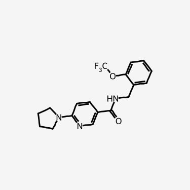 O=C(NCc1ccccc1OC(F)(F)F)c1ccc(N2CCCC2)nc1